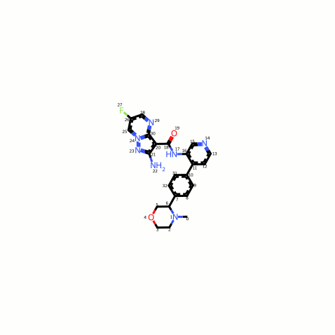 CN1CCOCC1c1ccc(-c2ccncc2NC(=O)c2c(N)nn3cc(F)cnc23)cc1